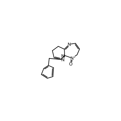 O=[N+]1CC=CN=C2CCC=C3N(Cc4ccccc4)N=CC321